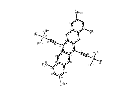 CCCCCCc1cc(C(F)(F)F)c2cc3c(C#C[Si](C(C)C)(C(C)C)C(C)C)c4cc5cc(CCCCCC)cc(C(F)(F)F)c5cc4c(C#C[Si](C(C)C)(C(C)C)C(C)C)c3cc2c1